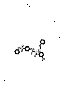 O=C(NC(=S)Nc1ccc(S(=O)(=O)Nc2ccccc2)cc1)c1cc(Br)ccc1OCCc1ccccc1